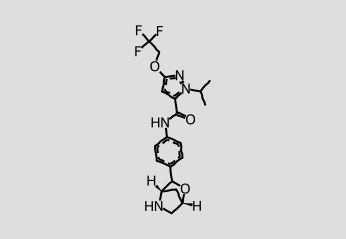 CC(C)n1nc(OCC(F)(F)F)cc1C(=O)Nc1ccc(C2O[C@@H]3CN[C@H]2C3)cc1